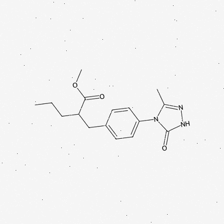 CCCC(Cc1ccc(-n2c(C)n[nH]c2=O)cc1)C(=O)OC